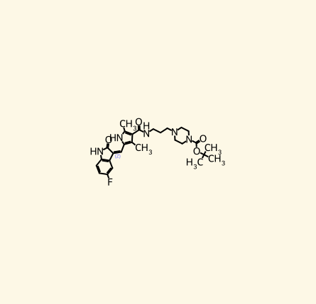 Cc1[nH]c(/C=C2\C(=O)Nc3ccc(F)cc32)c(C)c1C(=O)NCCCN1CCN(C(=O)OC(C)(C)C)CC1